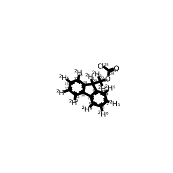 [2H]c1c([2H])c([2H])c2c(c1[2H])-c1c([2H])c([2H])c([2H])c([2H])c1C2([2H])C([2H])([2H])OC(=O)Cl